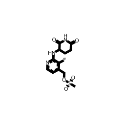 CS(=O)(=O)OCc1ccnc(NC2CCC(=O)NC2=O)c1F